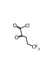 O=C(Cl)C(=O)CCC(F)(F)F